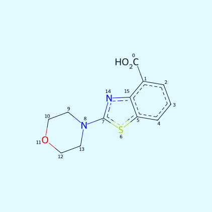 O=C(O)c1cccc2sc(N3CCOCC3)nc12